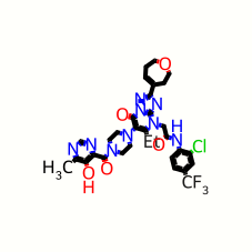 CCc1c(N2CCN(C(=O)c3ncnc(C)c3O)CC2)c(=O)n2nc(C3=CCCOCC3)nc2n1CC(=O)Nc1ccc(C(F)(F)F)cc1Cl